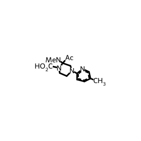 CNC1(C(C)=O)CN(c2ccc(C)cn2)CCN1C(=O)O